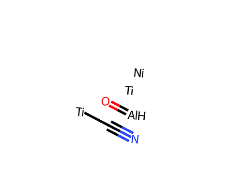 N#[C][Ti].[Ni].[O]=[AlH].[Ti]